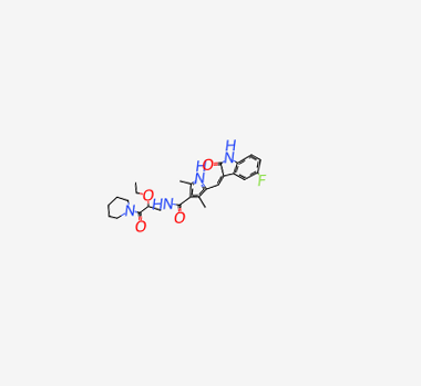 CCOC(CNC(=O)c1c(C)[nH]c(/C=C2\C(=O)Nc3ccc(F)cc32)c1C)C(=O)N1CCCCC1